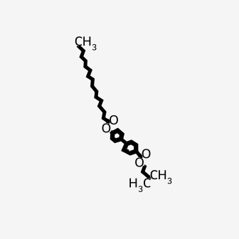 CCCCCCCCCCCCCCCCC(=O)Oc1ccc(-c2ccc(C(=O)OCCC(C)C)cc2)cc1